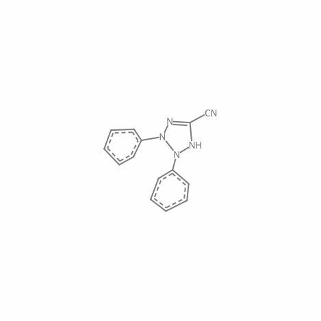 N#CC1=NN(c2ccccc2)N(c2ccccc2)N1